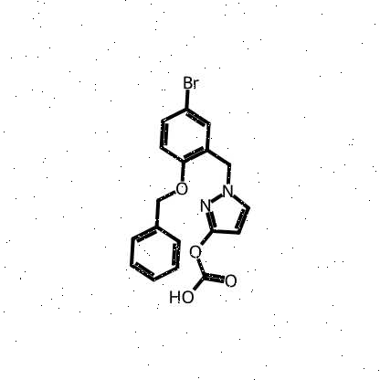 O=C(O)Oc1ccn(Cc2cc(Br)ccc2OCc2ccccc2)n1